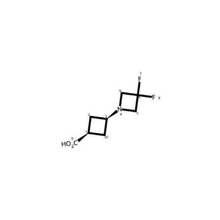 O=C(O)[C@H]1C[C@@H](N2CC(F)(F)C2)C1